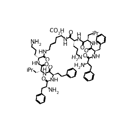 CC(C)C[C@@H](NC(=O)[C@@H](CCc1ccccc1)NC(=O)[C@H](N)Cc1ccccc1)C(=O)N[C@H](CCCN)C(=O)NCCCC[C@@H](NC(=O)[C@@H](CCCN)NC(=O)[C@@H](CC(C)C)NC(=O)[C@@H](Cc1ccccc1)NC(=O)[C@H](N)Cc1ccccc1)C(=O)O